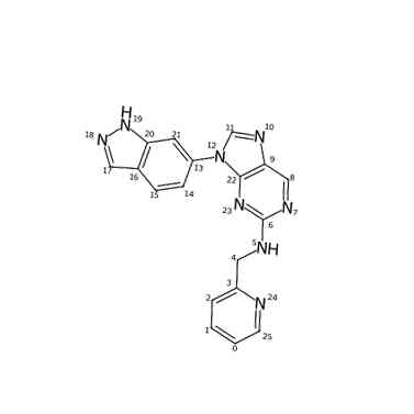 c1ccc(CNc2ncc3ncn(-c4ccc5cn[nH]c5c4)c3n2)nc1